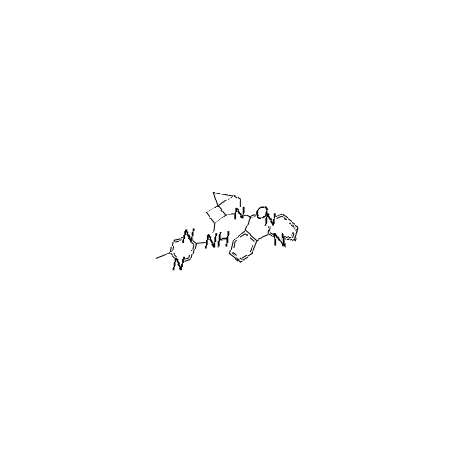 Cc1cnc(NC2CC34CC3CN(C(=O)c3ccccc3-c3ncccn3)C24)cn1